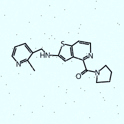 Cc1ncccc1CNc1cc2c(C(=O)N3CCCC3)nccc2s1